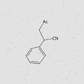 CC(=O)CC(C#N)c1ccccc1